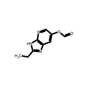 CCc1nc2cc(OC=O)cnc2[nH]1